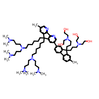 Cc1ccc2c(c1)C(CCCN(CCO)CCO)(CCCN(CCO)CCO)c1cc(-c3cnc4c(c3)C(CCCCCCN(CCCN(C)C)CCCN(C)C)(CCCCCCN(CCCN(C)C)CCCN(C)C)c3cc(C)cnc3-4)ccc1-2